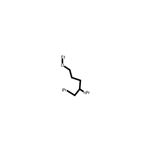 C[CH]CC(CCCOCC)CC(C)C